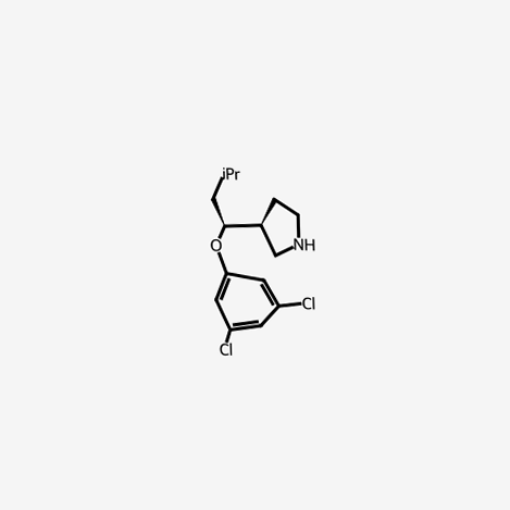 CC(C)C[C@H](Oc1cc(Cl)cc(Cl)c1)[C@H]1CCNC1